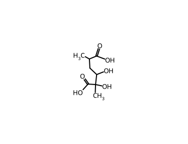 CC(CC(O)C(C)(O)C(=O)O)C(=O)O